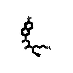 C#CCN(CCCN)C(=O)CN(C)c1ccc2cc(C(C)=O)ccc2c1